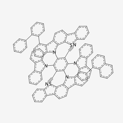 N#Cc1c(-n2c3ccccc3c3ccccc32)c(-n2c3cccc(-c4ccccc4-c4ccccc4)c3c3ccc4c5ccccc5sc4c32)c(C#N)c(-n2c3ccccc3c3ccccc32)c1-n1c2cc(-c3cccc4ccccc34)ccc2c2ccc3c4ccccc4sc3c21